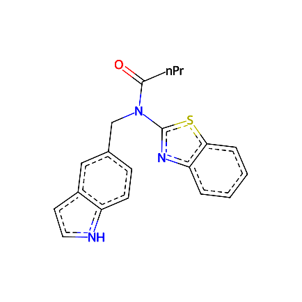 CCCC(=O)N(Cc1ccc2[nH]ccc2c1)c1nc2ccccc2s1